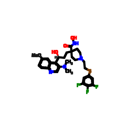 COc1ccc2ncc(N(C)C)c([C@H](O)CCC3(C(=O)NO)CCN(CCSc4cc(F)c(F)c(F)c4)CC3)c2c1